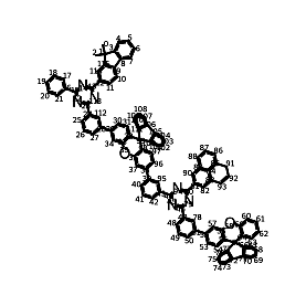 CC1(C)c2ccccc2-c2ccc(-c3nc(-c4ccccc4)nc(-c4cccc(-c5ccc6c(c5)Oc5cc(-c7cccc(-c8nc(-c9cccc(-c%10ccc%11c(c%10)Oc%10ccccc%10C%11%10c%11ccccc%11-c%11ccccc%11%10)c9)nc(-c9cc%10c%11c(cccc%11c9)CC=C%10)n8)c7)ccc5C65c6ccccc6-c6ccccc65)c4)n3)cc21